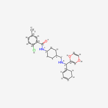 O=C(NC1CCC(CNC(C2=CC=CCC2)C2=COC=CO2)CC1)c1cc(C(F)(F)F)ccc1Cl